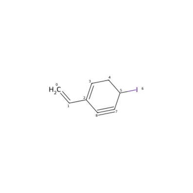 C=CC1=CCC(I)C#C1